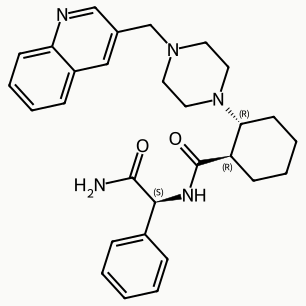 NC(=O)[C@@H](NC(=O)[C@@H]1CCCC[C@H]1N1CCN(Cc2cnc3ccccc3c2)CC1)c1ccccc1